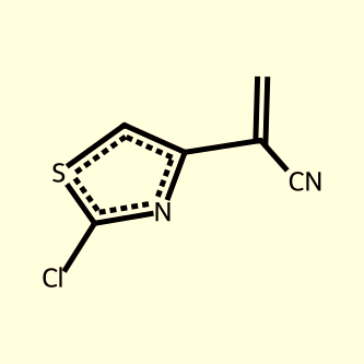 C=C(C#N)c1csc(Cl)n1